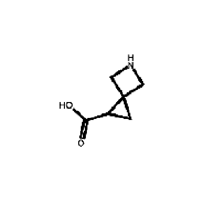 O=C(O)[C]1CC12CNC2